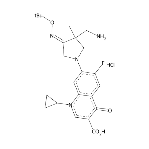 CC(C)(C)O/N=C1/CN(c2cc3c(cc2F)c(=O)c(C(=O)O)cn3C2CC2)CC1(C)CN.Cl